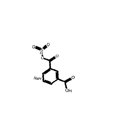 O=C(O)c1cccc(C(=O)O[SH](=O)=O)c1.[NaH]